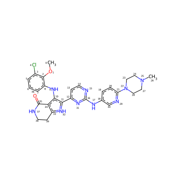 COc1c(Cl)cccc1Nc1c(-c2ccnc(Nc3ccc(N4CCN(C)CC4)nc3)n2)[nH]c2c1C(=O)NCC2